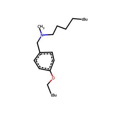 CN(CCCCC(C)(C)C)Cc1ccc(OCC(C)(C)C)cc1